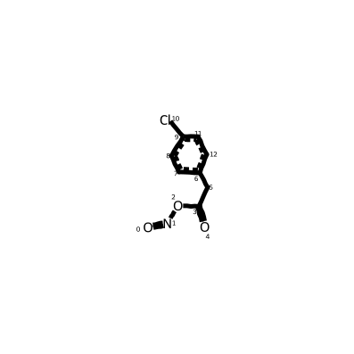 O=NOC(=O)Cc1ccc(Cl)cc1